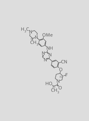 COc1cc(Nc2ncnc(-c3ccc(OC4CCN(C(=O)[C@H](C)O)C[C@@H]4F)c(C#N)c3)n2)ccc1N1CCN(C)C[C@@H]1C